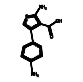 Nc1ccc(-c2csc(N)c2C(=O)O)cc1